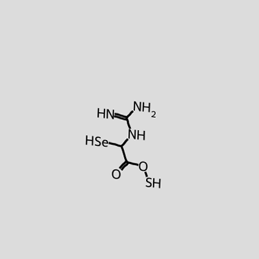 N=C(N)NC([SeH])C(=O)OS